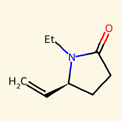 C=C[C@@H]1CCC(=O)N1CC